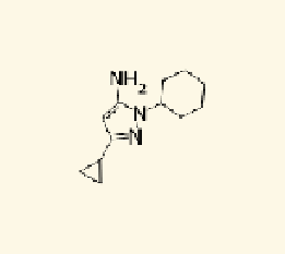 Nc1cc(C2CC2)nn1C1CCCCC1